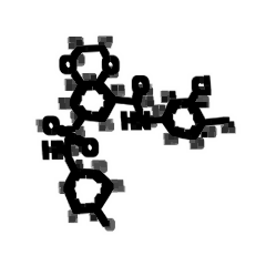 Cc1ccc(NS(=O)(=O)c2cc3c(c(C(=O)Nc4ccc(C)c(Cl)c4)c2)OCCO3)cc1